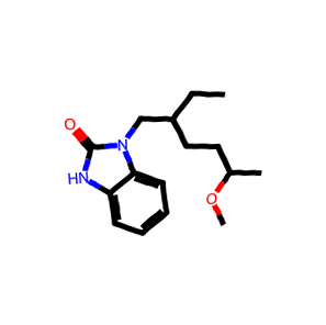 CCC(CCC(C)OC)Cn1c(=O)[nH]c2ccccc21